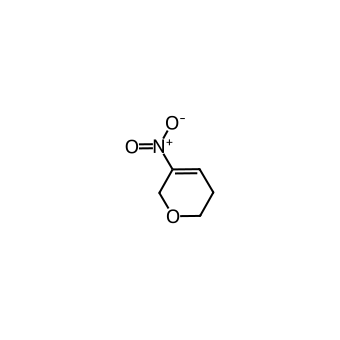 O=[N+]([O-])C1=CCCOC1